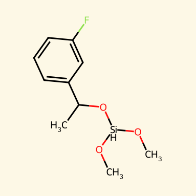 CO[SiH](OC)OC(C)c1cccc(F)c1